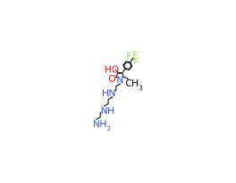 CCC1C(c2ccc(C(F)(F)F)cc2)=C(O)C(=O)N1CCCNCCCCNCCCN